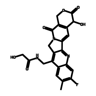 Cc1cc2c(CNC(=O)CO)c3c(nc2cc1F)-c1cc2c(c(=O)n1C3)COC(=O)C2O